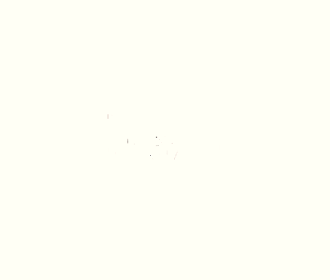 CC(C)CCC[C@@H](C)[C@H]1CC[C@H]2[C@@H]3CC=C4C[C@@H](C(CO)C(=O)O)CC[C@]4(C)[C@H]3CC[C@]12C